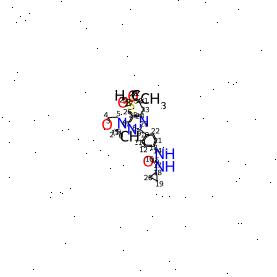 C[C@H]1COCCN1c1nc(-c2ccc(NC(=O)NC3CC3)cc2)nc2c1CS(=O)(=O)C(C)(C)C2